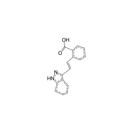 O=C(O)c1ccccc1C=Cc1n[nH]c2ccccc12